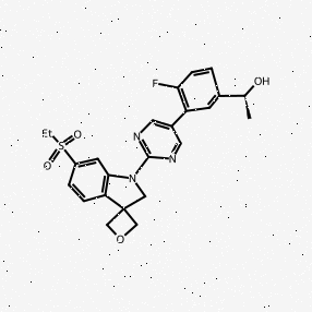 CCS(=O)(=O)c1ccc2c(c1)N(c1ncc(-c3cc([C@H](C)O)ccc3F)cn1)CC21COC1